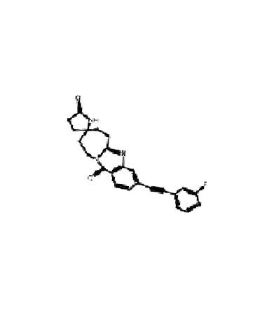 O=C1CCC2(CCc3nc4cc(C#Cc5cccc(F)c5)ccc4c(=O)n3CC2)N1